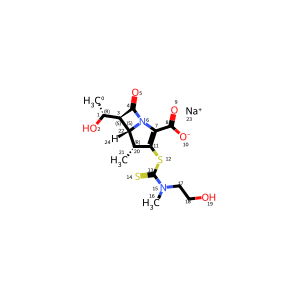 C[C@@H](O)[C@H]1C(=O)N2C(C(=O)[O-])=C(SC(=S)N(C)CCO)[C@H](C)[C@H]12.[Na+]